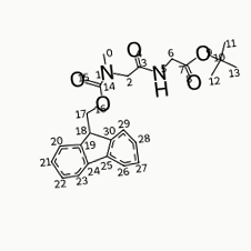 CN(CC(=O)NCC(=O)OC(C)(C)C)C(=O)OCC1c2ccccc2-c2ccccc21